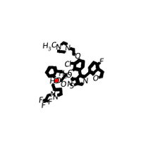 Cc1c(-c2c(-c3ccc(F)c4ccoc34)ncc3snc(O[C@H](Cc4ccccc4OCc4ccnn4CC(F)(F)F)C(=O)O)c23)ccc(OCCN2CCN(C)CC2)c1Cl